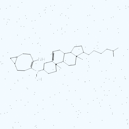 CC(C)CCCCC1CCC2C3CC=C4CC(N(N)/C5=C(\N)CCC6CC6CC5)CCC4(C)C3CCC12C